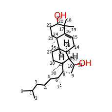 CC(C)CCC[C@@H](C)[C@H]1C[C@H](O)[C@H]2[C@@H]3CC=C4C(C)(C)[C@H](O)CC[C@]4(C)[C@H]3CC[C@@]21C